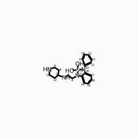 OS1(O)N(CCNC2CCNCC2)c2ccccc2N1c1ccccc1